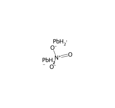 O=[N+]([O-])[O-].[PbH2].[PbH2]